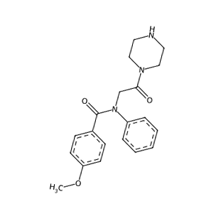 COc1ccc(C(=O)N(CC(=O)N2CCNCC2)c2ccccc2)cc1